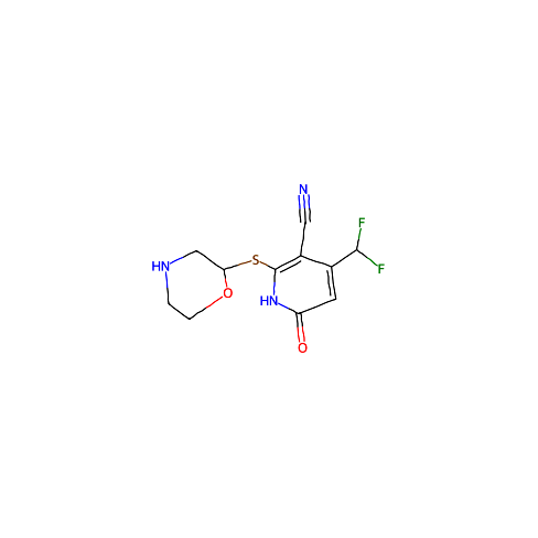 N#Cc1c(C(F)F)cc(=O)[nH]c1SC1CNCCO1